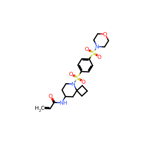 C=CC(=O)NC1CCN(S(=O)(=O)c2ccc(S(=O)(=O)N3CCOCC3)cc2)C2(CCC2)C1